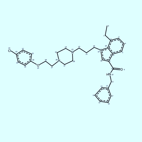 CCc1cccc2c(C(=O)NCc3ccccc3)cn(CCCN3CCN(CCOc4ccc(Cl)cc4)CC3)c12